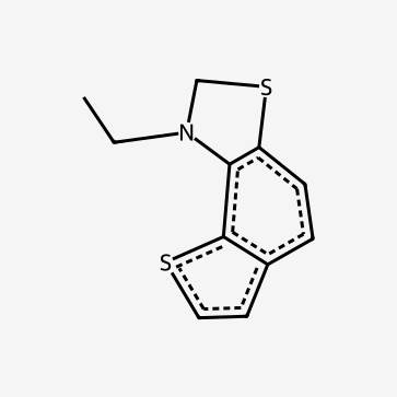 CCN1CSc2ccc3ccsc3c21